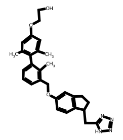 Cc1cc(OCCO)cc(C)c1-c1cccc(COc2ccc3c(c2)CCC3Cc2nnn[nH]2)c1C